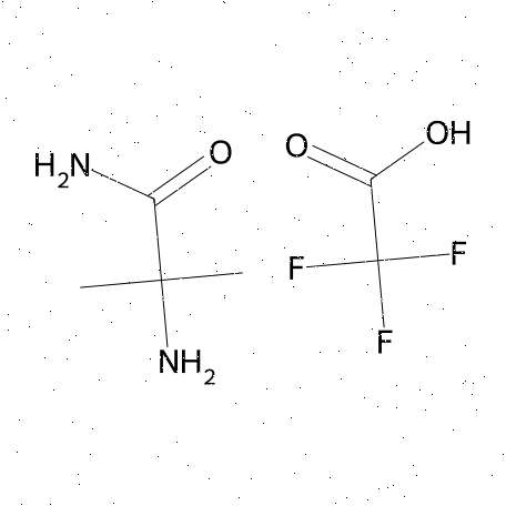 CC(C)(N)C(N)=O.O=C(O)C(F)(F)F